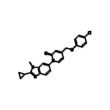 Cn1c(C2CC2)nc2ccc(-n3ccc(COc4ccc(Cl)cc4)cc3=O)cc21